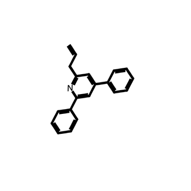 C=CCc1cc(-c2ccccc2)cc(-c2ccccc2)n1